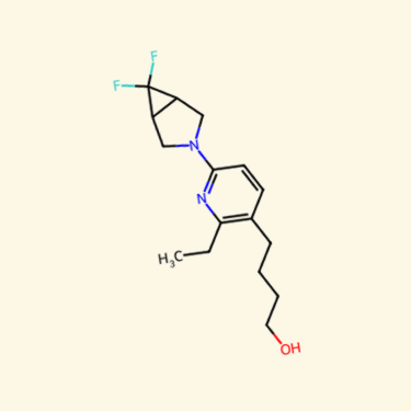 CCc1nc(N2CC3C(C2)C3(F)F)ccc1CCCCO